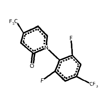 O=c1cc(C(F)(F)F)ccn1-c1c(F)cc(C(F)(F)F)cc1F